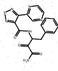 NC(=O)C(=O)C(Cc1ccccc1)NC(=O)c1nsnc1-c1cnccn1